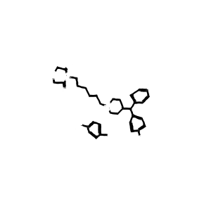 Cc1ccc(S(=O)(=O)O)cc1.O=C1COCC(=O)N1CCCCCCN1CCC(C(c2ccc(Cl)cc2)c2ccc(Cl)cc2)CC1